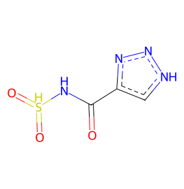 O=C(N[SH](=O)=O)c1c[nH]nn1